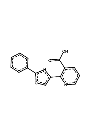 O=C(O)c1cccnc1-c1coc(-c2ccccc2)n1